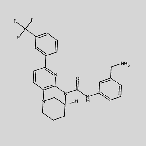 NCc1cccc(NC(=O)N2c3nc(-c4cccc(C(F)(F)F)c4)ccc3N3CCC[C@H]2C3)c1